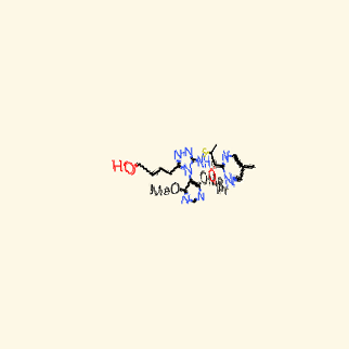 COc1ncnc(OC)c1-n1c(CCCCO)nnc1NSC(C)[C@@H](OC(C)C)c1ncc(C)cn1